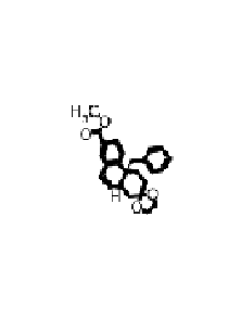 COC(=O)c1ccc2c(c1)C=C[C@H]1CC3(CC[C@@]21Cc1ccccc1)OCCO3